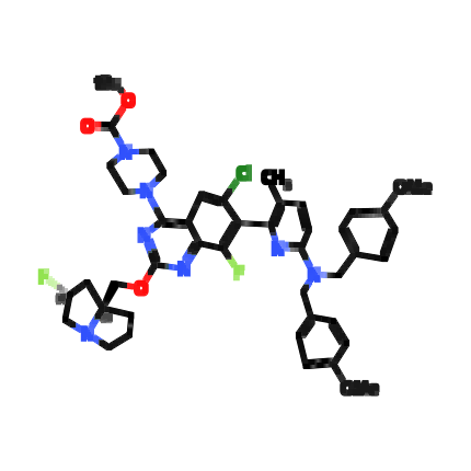 COc1ccc(CN(Cc2ccc(OC)cc2)c2ccc(C)c(-c3c(Cl)cc4c(N5CCN(C(=O)OC(C)(C)C)CC5)nc(OC[C@@]56CCCN5C[C@H](F)C6)nc4c3F)n2)cc1